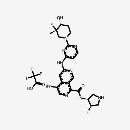 CC(C)c1cnc(C(=O)N[C@H]2CNC[C@H]2F)c2cnc(Nc3ccnc(N4CC[C@@H](O)[C@@](C)(F)C4)n3)cc12.O=C(O)C(F)(F)F